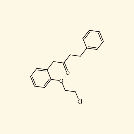 O=C(CCc1ccccc1)Cc1ccccc1OCCCl